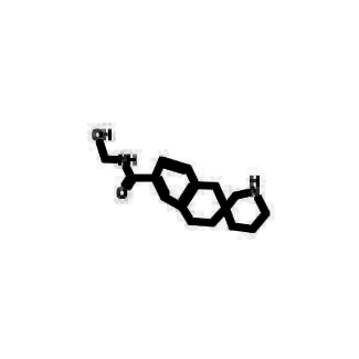 O=C(NCO)c1ccc2c(c1)CCC1(CCCNC1)C2